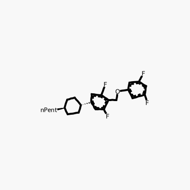 CCCCC[C@H]1CC[C@H](c2cc(F)c(COc3cc(F)cc(F)c3)c(F)c2)CC1